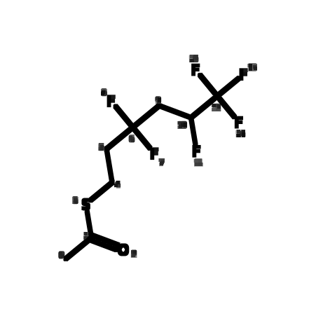 CC(=O)SCCC(F)(F)CC(F)C(F)(F)F